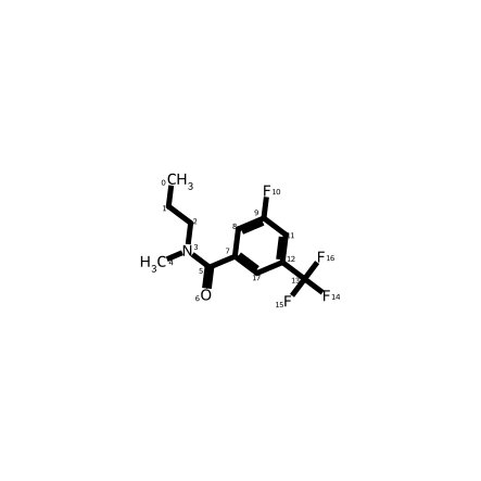 CCCN(C)C(=O)c1cc(F)cc(C(F)(F)F)c1